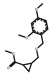 COC(=O)C1CC1COCc1ccc(OC)cc1OC